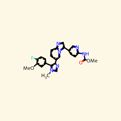 COC(=O)Nc1ccc(-c2cnc3ccc(-c4ncn(C)c4-c4ccc(F)c(OC)c4)cn23)cn1